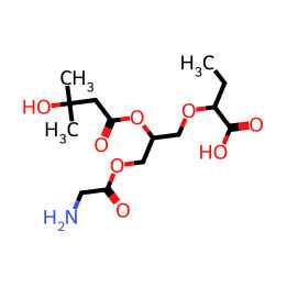 CCC(OCC(COC(=O)CN)OC(=O)CC(C)(C)O)C(=O)O